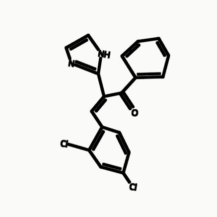 O=C(C(=Cc1ccc(Cl)cc1Cl)c1ncc[nH]1)c1ccccc1